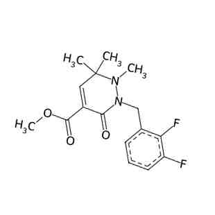 COC(=O)C1=CC(C)(C)N(C)N(Cc2cccc(F)c2F)C1=O